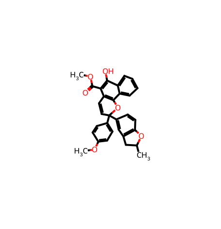 COC(=O)c1c2c(c3ccccc3c1O)OC(c1ccc(OC)cc1)(c1ccc3c(c1)CC(C)O3)C=C2